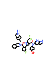 Cn1c(-c2cc(F)ccc2C(=O)N2Cc3ccccc3C[C@@H]2CC2CC3CCNC(C3)C2)cc(C(=O)N(c2ccc(O)cc2)c2cnc3c(ccn3C)c2)c1CC(F)F